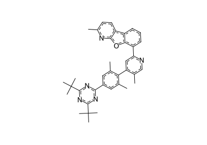 Cc1ccc2c(n1)oc1c(-c3cc(-c4c(C)cc(-c5nc(C(C)(C)C)nc(C(C)(C)C)n5)cc4C)c(C)cn3)cccc12